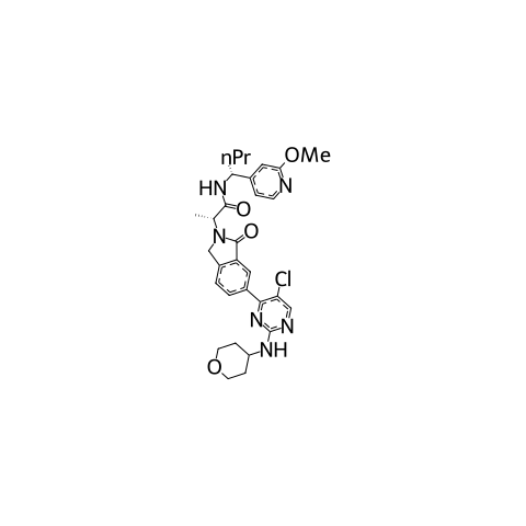 CCC[C@@H](NC(=O)[C@@H](C)N1Cc2ccc(-c3nc(NC4CCOCC4)ncc3Cl)cc2C1=O)c1ccnc(OC)c1